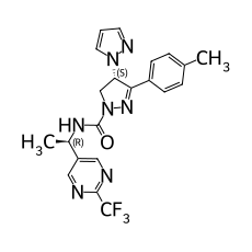 Cc1ccc(C2=NN(C(=O)N[C@H](C)c3cnc(C(F)(F)F)nc3)C[C@@H]2n2cccn2)cc1